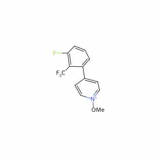 CO[n+]1ccc(-c2cccc(F)c2C(F)(F)F)cc1